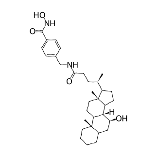 C[C@H](CCC(=O)NCc1ccc(C(=O)NO)cc1)C1CCC2[C@H]3C(CC[C@@]21C)[C@@]1(C)CCCCC1C[C@@H]3O